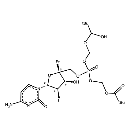 CC[C@]1(COP(=O)(OCOC(=O)C(C)(C)C)OCOC(O)C(C)(C)C)O[C@@H](n2ccc(N)nc2=O)[C@H](F)[C@@H]1O